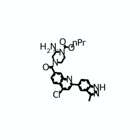 CCCOC(=O)N1CCN(C(=O)c2ccc3c(Cl)cc(-c4ccc5[nH]nc(C)c5c4)nc3c2)C[C@H]1N